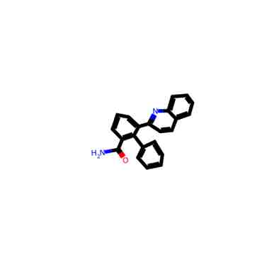 NC(=O)c1cccc(-c2ccc3ccccc3n2)c1-c1ccccc1